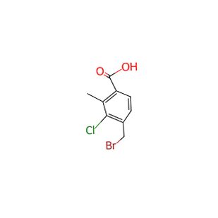 Cc1c(C(=O)O)ccc(CBr)c1Cl